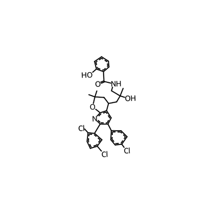 CC(O)(CNC(=O)c1ccccc1O)CC1CC(C)(C)Oc2nc(-c3cc(Cl)ccc3Cl)c(-c3ccc(Cl)cc3)cc21